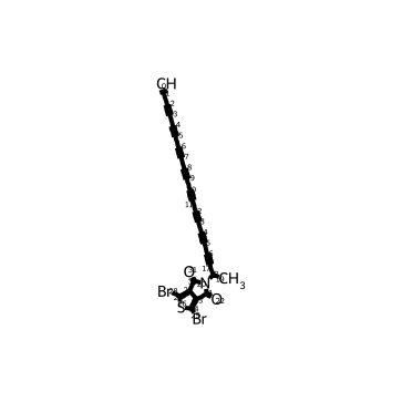 C#CC#CC#CC#CC#CC#CC#CC#CC#CC(C)N1C(=O)c2c(Br)sc(Br)c2C1=O